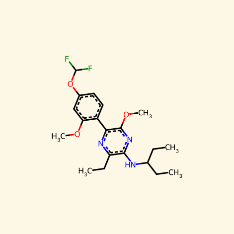 CCc1nc(-c2ccc(OC(F)F)cc2OC)c(OC)nc1NC(CC)CC